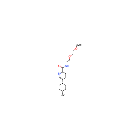 CSOCCOCCNC(=O)c1ccc([C@H]2CC[C@H](C(C)=O)CC2)cn1